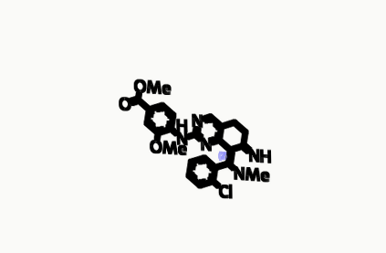 CN/C(=C1\C(=N)CCc2cnc(Nc3ccc(C(=O)OC)cc3OC)nc21)c1ccccc1Cl